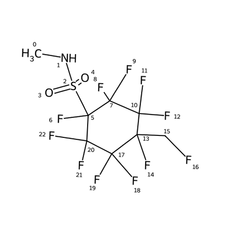 CNS(=O)(=O)C1(F)C(F)(F)C(F)(F)C(F)(CF)C(F)(F)C1(F)F